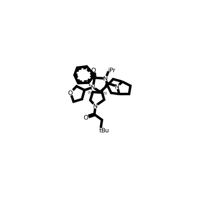 CC(C)N1C(=O)N(C2CCOC2)CC12CC1CCC(C2)N1C[C@H]1CN(C(=O)CC(C)(C)C)C[C@@H]1c1ccccc1